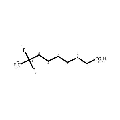 O=C(O)CSCCCCC(F)(F)C(F)(F)F